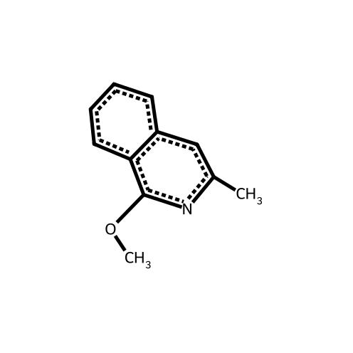 COc1nc(C)cc2ccccc12